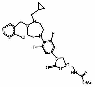 COC(=S)NC[C@H]1CN(c2cc(F)c(N3CCN(Cc4cccnc4Cl)N(CC4CC4)CC3)c(F)c2)C(=O)O1